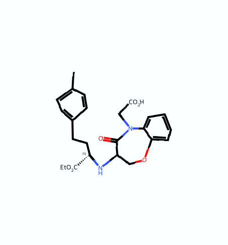 CCOC(=O)[C@H](CCc1ccc(C)cc1)NC1COc2ccccc2N(CC(=O)O)C1=O